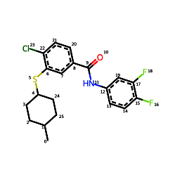 CC1CCC(Sc2cc(C(=O)Nc3ccc(F)c(F)c3)ccc2Cl)CC1